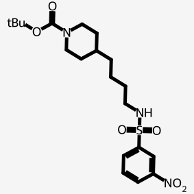 CC(C)(C)OC(=O)N1CCC(CCCCNS(=O)(=O)c2cccc([N+](=O)[O-])c2)CC1